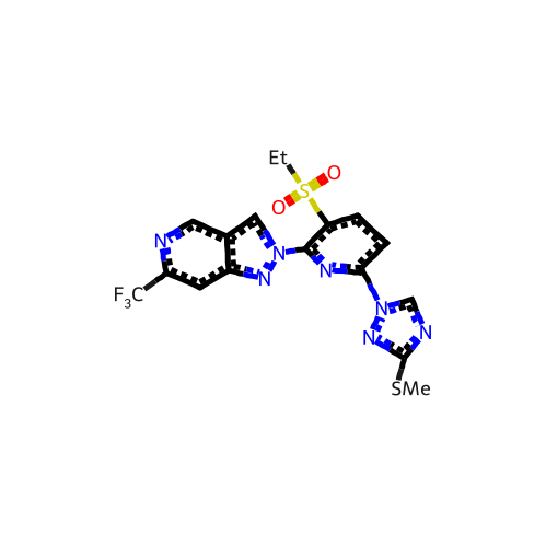 CCS(=O)(=O)c1ccc(-n2cnc(SC)n2)nc1-n1cc2cnc(C(F)(F)F)cc2n1